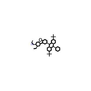 C=Cc1cc2c(cc1/C=C\C)oc1ccc(-c3c4ccc(C(C)(C)C)cc4c(-c4ccccc4)c4ccc(C(C)(C)C)cc34)cc12